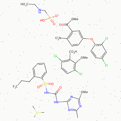 COC(=O)c1cc(Oc2ccc(Cl)cc2Cl)ccc1[N+](=O)[O-].COc1c(Cl)ccc(Cl)c1C(=O)O.COc1nc(C)nc(NC(=O)NS(=O)(=O)c2ccccc2CCC(F)(F)F)n1.C[S+](C)C.O=C(O)CNCP(=O)([O-])O